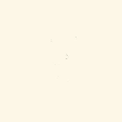 CCCC(=O)[O][Zr][CH](C(C)=O)C(C)=O